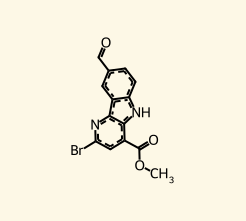 COC(=O)c1cc(Br)nc2c1[nH]c1ccc(C=O)cc12